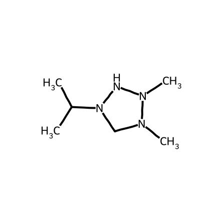 CC(C)N1CN(C)N(C)N1